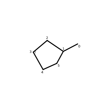 CC1C[C]CC1